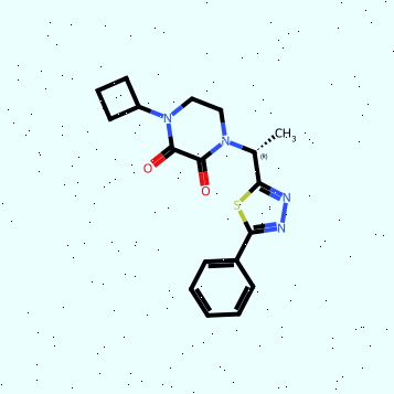 C[C@H](c1nnc(-c2ccccc2)s1)N1CCN(C2CCC2)C(=O)C1=O